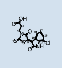 O=C(O)CCN1C(=O)/C(=C2/C(=O)Nc3c(Cl)cccc32)SC1=S